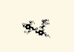 COc1cc(OC)c(C=C[S+]([O-])Cc2ccc(OC)c(OC(=O)COP(=O)(O)O)c2)c(OC)c1